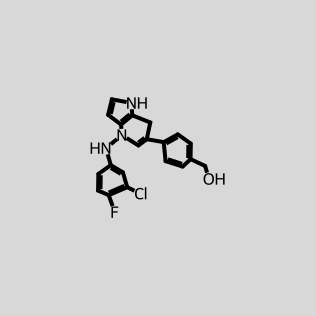 OCc1ccc(C2=CN(Nc3ccc(F)c(Cl)c3)c3cc[nH]c3C2)cc1